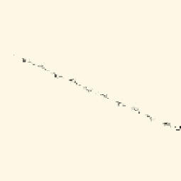 O=C(CCCCCO)OCCCCCC(=O)OCCCCCC(=O)OCCCCCC(=O)OCCCCCC(=O)OCCCCCC(=O)OCCCCCC(=O)OCCCCCC(=O)OCCCCCC(=O)OCCCCCC(=O)OCCc1ccccc1